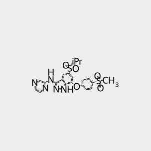 CC(C)S(=O)(=O)c1cc(Oc2ccc(S(C)(=O)=O)cc2)c2[nH]nc(Nc3cnccn3)c2c1